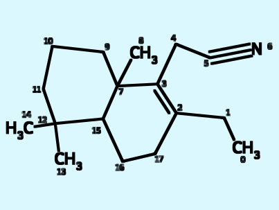 CCC1=C(CC#N)C2(C)CCCC(C)(C)C2CC1